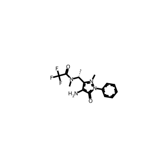 C[C@H](c1c(N)c(=O)n(-c2ccccc2)n1C)N(C)C(=O)C(F)(F)F